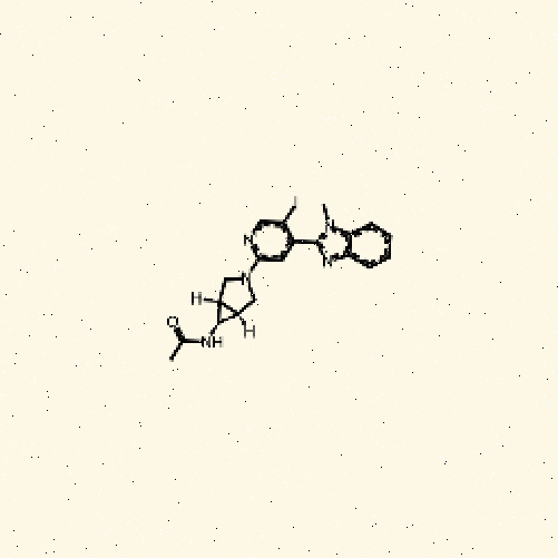 CC(=O)N[C@H]1[C@@H]2CN(c3cc(-c4nc5ccccc5n4C)c(I)cn3)C[C@@H]21